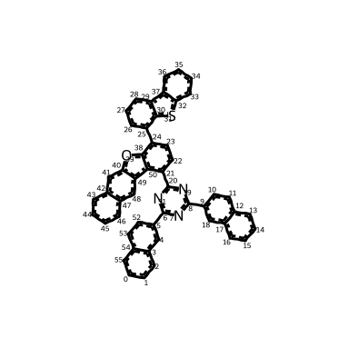 c1ccc2cc(-c3nc(-c4ccc5ccccc5c4)nc(-c4ccc(-c5cccc6c5sc5ccccc56)c5oc6cc7ccccc7cc6c45)n3)ccc2c1